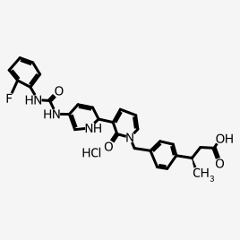 C[C@H](CC(=O)O)c1ccc(Cn2cccc(C3C=CC(NC(=O)Nc4ccccc4F)=CN3)c2=O)cc1.Cl